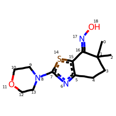 CC1(C)CCc2nc(N3CCOCC3)sc2C1=NO